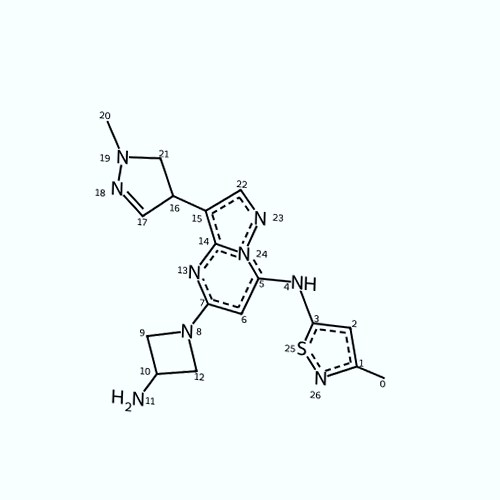 Cc1cc(Nc2cc(N3CC(N)C3)nc3c(C4C=NN(C)C4)cnn23)sn1